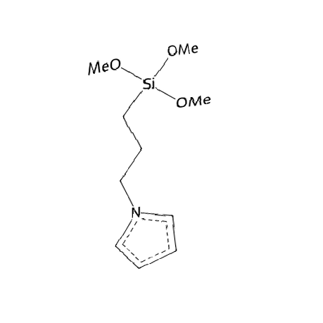 CO[Si](CCCn1cccc1)(OC)OC